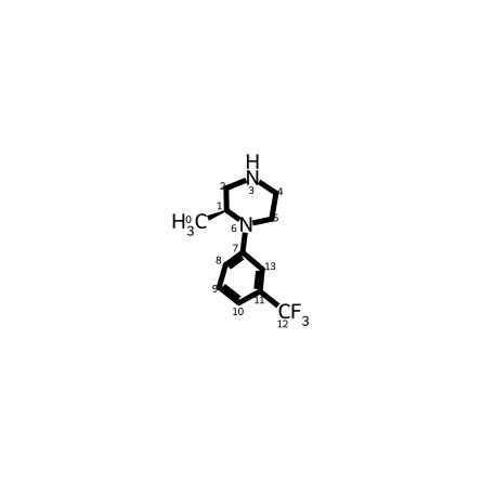 C[C@H]1CNCCN1c1cccc(C(F)(F)F)c1